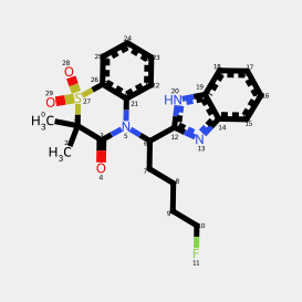 CC1(C)C(=O)N(C(CCCCF)c2nc3ccccc3[nH]2)c2ccccc2S1(=O)=O